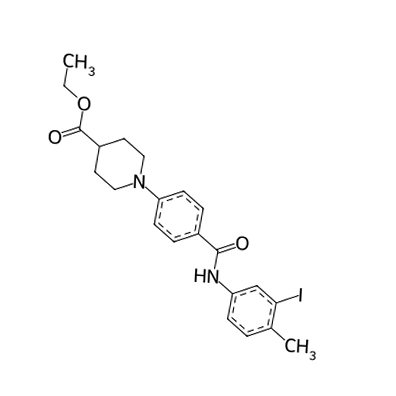 CCOC(=O)C1CCN(c2ccc(C(=O)Nc3ccc(C)c(I)c3)cc2)CC1